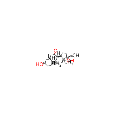 C#C[C@]1(O)CC[C@H]2[C@@H]3C(=O)C[C@H]4C[C@H](O)CC[C@]4(C)[C@H]3CC[C@@]21C